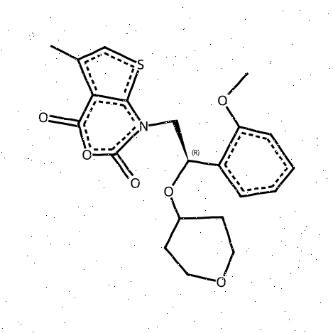 COc1ccccc1[C@H](Cn1c(=O)oc(=O)c2c(C)csc21)OC1CCOCC1